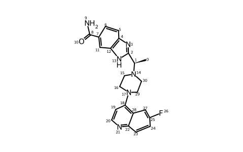 C[C@H](c1nc2ccc(C(N)=O)cc2[nH]1)N1CCN(c2ccnc3ccc(F)cc23)CC1